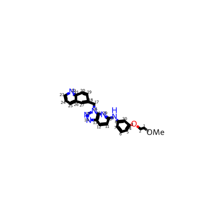 COCCOc1cccc(Nc2ccc3nnn(Cc4ccc5ncccc5c4)c3n2)c1